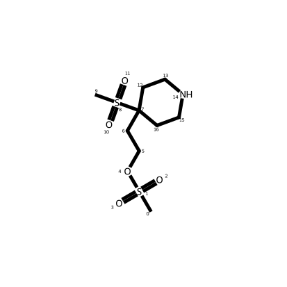 CS(=O)(=O)OCCC1(S(C)(=O)=O)CCNCC1